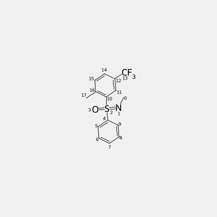 CN=S(=O)(c1ccccc1)c1cc(C(F)(F)F)ccc1C